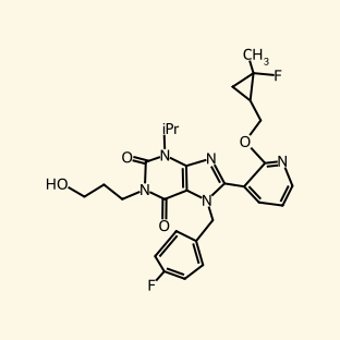 CC(C)n1c(=O)n(CCCO)c(=O)c2c1nc(-c1cccnc1OCC1CC1(C)F)n2Cc1ccc(F)cc1